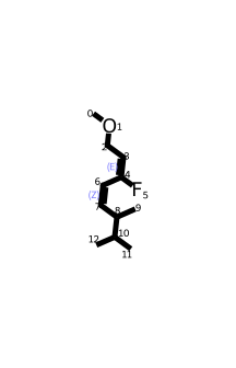 COC/C=C(F)\C=C/C(C)C(C)C